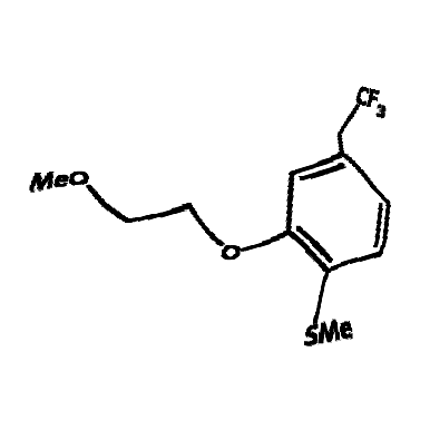 COCCOc1cc(C(F)(F)F)ccc1SC